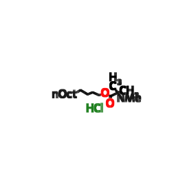 CCCCCCCCCCCCOC(=O)C(C)(C)NC.Cl